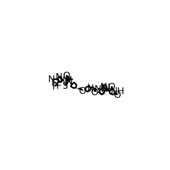 C[C@@H]1C[C@H](OCC[C@H]2CC[C@H](N3C(=S)N(c4cnc(C#N)c(C(F)(F)F)c4)C(=O)C3(C)C)CC2)C[C@H](C)N1CC(=O)Nc1cccc2c(C3CCC(=O)NC3=O)nn(C)c12